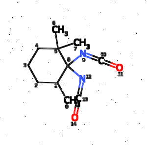 CC1CCCC(C)(C)C1(N=C=O)N=C=O